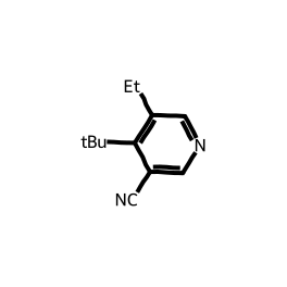 CCc1cncc(C#N)c1C(C)(C)C